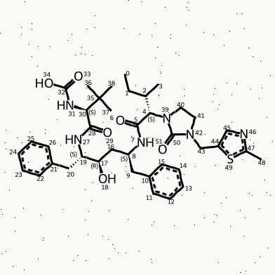 CCC(C)[C@@H](C(=O)N[C@@H](Cc1ccccc1)C[C@@H](O)[C@H](Cc1ccccc1)NC(=O)[C@@H](NC(=O)O)C(C)(C)C)N1CCN(Cc2cnc(C)s2)C1=O